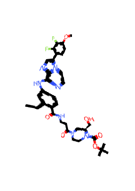 CCc1cc(Nc2nccn3c(-c4ccc(OC)c(F)c4F)cnc23)ccc1C(=O)NCCC(=O)N1CCN(C(=O)OC(C)(C)C)[C@H](CO)C1